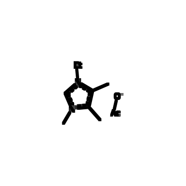 CC(=O)[O-].CCn1c[n+](C)c(C)c1C